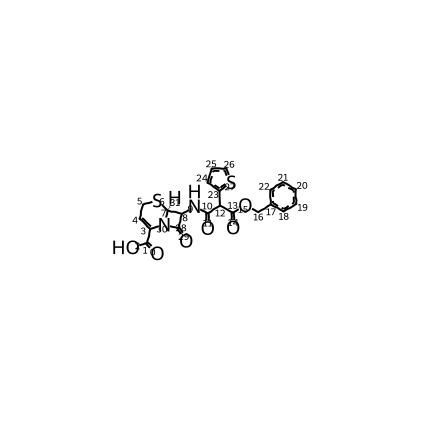 O=C(O)C1=CCS[C@H]2C(NC(=O)C(C(=O)OCc3ccccc3)c3cccs3)C(=O)N12